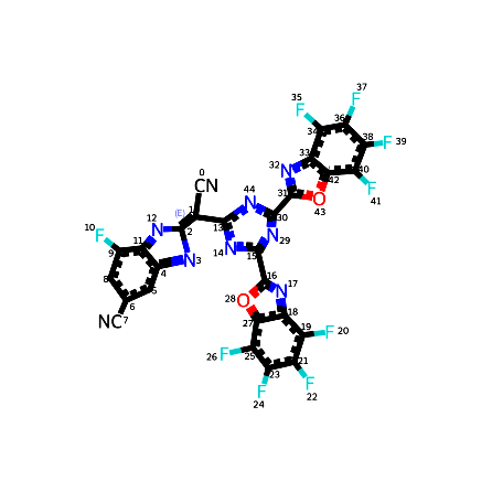 N#C/C(=C1/N=c2cc(C#N)cc(F)c2=N1)c1nc(-c2nc3c(F)c(F)c(F)c(F)c3o2)nc(-c2nc3c(F)c(F)c(F)c(F)c3o2)n1